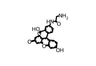 NCC(=O)Nc1ccc(-c2c3ccc(=O)cc-3oc3cc(O)ccc23)c(C(=O)O)c1